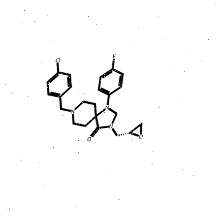 O=C1N(C[C@@H]2CO2)CN(c2ccc(F)cc2)C12CCN(Cc1ccc(Cl)cc1)CC2